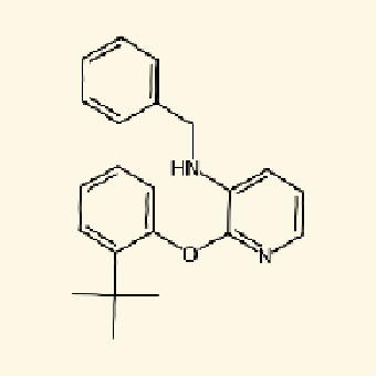 CC(C)(C)c1ccccc1Oc1ncccc1NCc1ccccc1